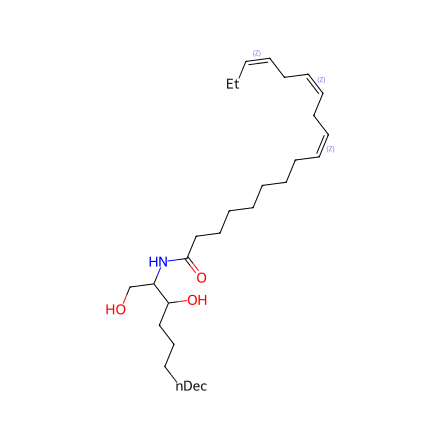 CC/C=C\C/C=C\C/C=C\CCCCCCCC(=O)NC(CO)C(O)CCCCCCCCCCCCC